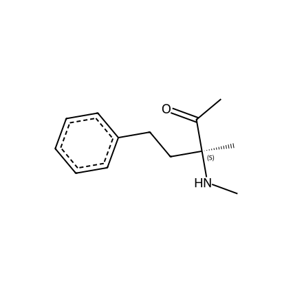 CN[C@@](C)(CCc1ccccc1)C(C)=O